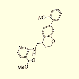 COC(=O)c1ccncc1NC[C@@H]1CCOc2cc(-c3ccccc3C#N)ccc21